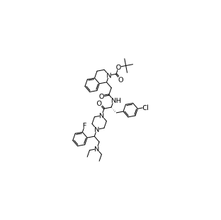 CCN(CC)CC(c1ccccc1F)N1CCN(C(=O)[C@@H](Cc2ccc(Cl)cc2)NC(=O)CC2c3ccccc3CCN2C(=O)OC(C)(C)C)CC1